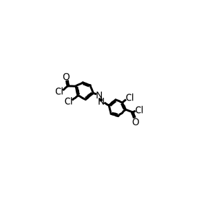 O=C(Cl)c1ccc(N=Nc2ccc(C(=O)Cl)c(Cl)c2)cc1Cl